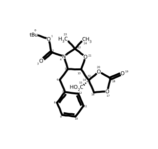 CC(C)(C)OC(=O)N1C(Cc2ccccc2)C([C@]2(C(=O)O)COC(=O)O2)OC1(C)C